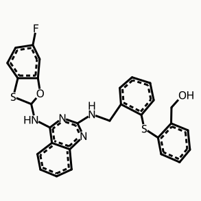 OCc1ccccc1Sc1ccccc1CNc1nc(NC2Oc3cc(F)ccc3S2)c2ccccc2n1